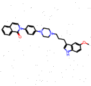 COc1ccc2[nH]cc(CCCN3CCN(c4ccc(-n5ccc6ccccc6c5=O)cc4)CC3)c2c1